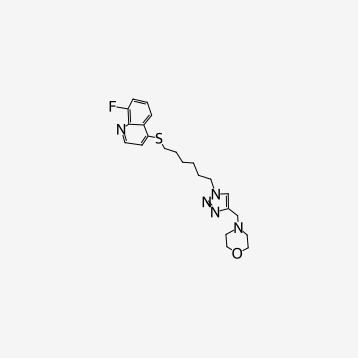 Fc1cccc2c(SCCCCCCn3cc(CN4CCOCC4)nn3)ccnc12